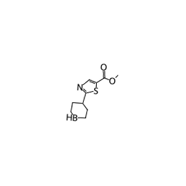 COC(=O)c1cnc(C2CCBCC2)s1